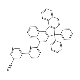 N#Cc1cncc(-c2cccc(-c3cc4c(c5ccccc35)-c3c(ccc5ccccc35)C4(c3ccccc3)c3ccccc3)n2)c1